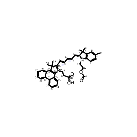 Cc1ccc2c(c1)C(C)(C)/C(=C/C=C/C=C/C1=[N+](CCC(=O)O)c3c(c4ccccc4c4ccccc34)C1(C)C)N2CCOC=O